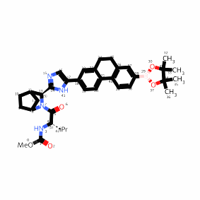 COC(=O)N[C@H](C(=O)N1C2CCC(C2)[C@H]1c1ncc(-c2ccc3c(c2)CCc2cc(B4OC(C)(C)C(C)(C)O4)ccc2-3)[nH]1)C(C)C